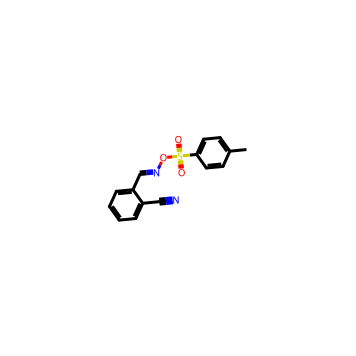 Cc1ccc(S(=O)(=O)ON=Cc2ccccc2C#N)cc1